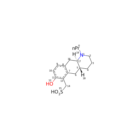 CCCN1CCC[C@@H]2Cc3c(ccc(O)c3CS(=O)(=O)O)C[C@H]21